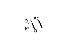 CC(C)=O.O=[N+]([O-])[O-].[K+]